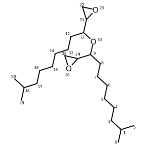 CC(C)CCCCCCC(OC(CCCCCCC(C)C)C1CO1)C1CO1